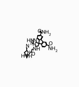 N#CC1C[C@@H]2C[C@@H]2N1C(=O)CNCCC1(c2nn[nH]n2)c2ccc(C(N)=O)cc2-c2cc(C(N)=O)ccc21